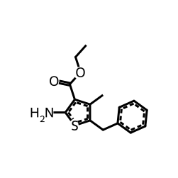 CCOC(=O)c1c(N)sc(Cc2ccccc2)c1C